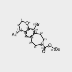 CC(=O)N1CCOc2c1cc1c(c2Br)CCN(C(=O)OC(C)(C)C)CC1